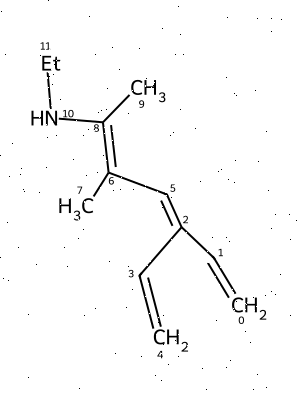 C=CC(C=C)=C/C(C)=C(\C)NCC